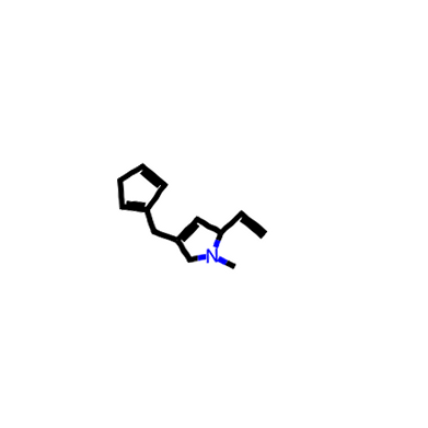 C=CC1C=C(CC2=CCC=C2)CN1C